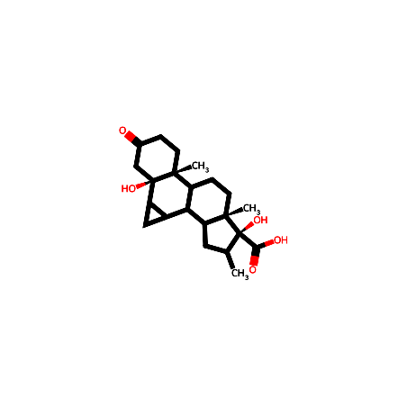 CC1CC2C3C4CC4[C@]4(O)CC(=O)CC[C@]4(C)C3CC[C@]2(C)[C@]1(O)C(=O)O